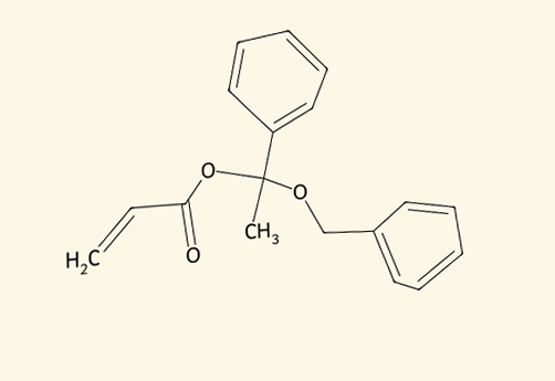 C=CC(=O)OC(C)(OCc1ccccc1)c1ccccc1